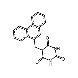 O=C1NC(=O)C(Cc2cc3ccccc3c3ccccc23)C(=O)N1